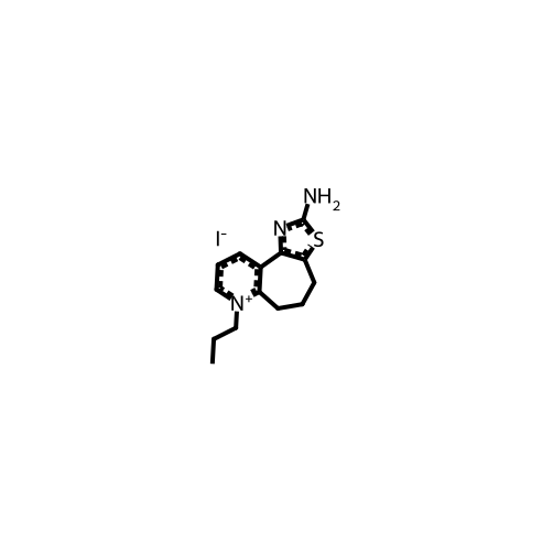 CCC[n+]1cccc2c1CCCc1sc(N)nc1-2.[I-]